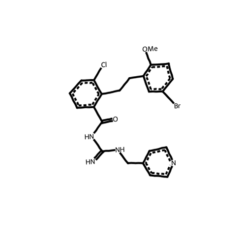 COc1ccc(Br)cc1CCc1c(Cl)cccc1C(=O)NC(=N)NCc1ccncc1